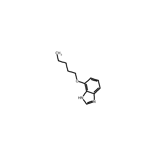 CCCCCOc1cccc2nc[nH]c12